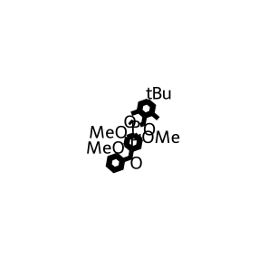 COc1cc(C(=O)c2ccccc2)c(OC)c(OC)c1[PH](=O)C(=O)c1c(C)cc(C(C)(C)C)cc1C